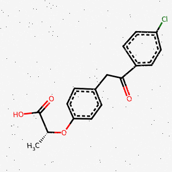 C[C@@H](Oc1ccc(CC(=O)c2ccc(Cl)cc2)cc1)C(=O)O